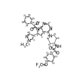 Cn1cc(-c2cc3c(N4CCC(NS(=O)(=O)c5ccc(OC(F)(F)F)cc5)CC4)ncnc3n2S(=O)(=O)c2ccccc2)cn1